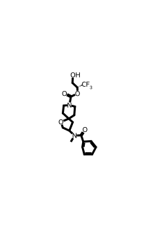 CN(C(=O)c1ccccc1)C1COC2(CCN(C(=O)O[C@H](CO)C(F)(F)F)CC2)C1